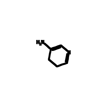 NC1=CN=CCC1